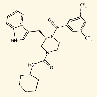 O=C(NC1CCCCC1)N1CCN(C(=O)c2cc(C(F)(F)F)cc(C(F)(F)F)c2)[C@H](Cc2c[nH]c3ccccc23)C1